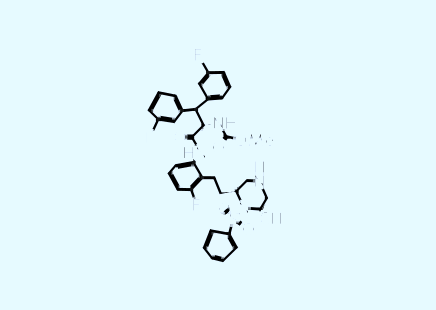 COC(=O)N[C@H](C(=O)Nc1cccc(F)c1CC[C@H]1CNC[C@@H](C)N1S(=O)(=O)c1ccccc1)C(c1cccc(F)c1)c1cccc(F)c1